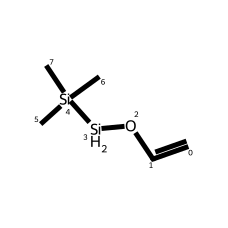 C=CO[SiH2][Si](C)(C)C